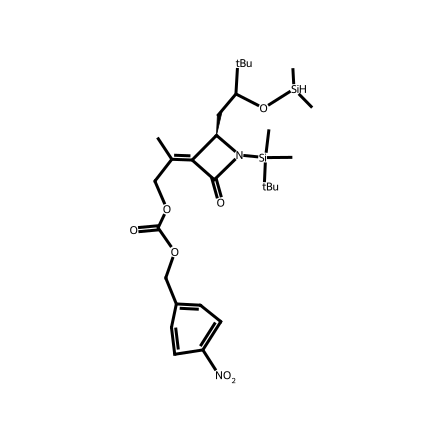 CC(COC(=O)OCc1ccc([N+](=O)[O-])cc1)=C1C(=O)N([Si](C)(C)C(C)(C)C)[C@@H]1CC(O[SiH](C)C)C(C)(C)C